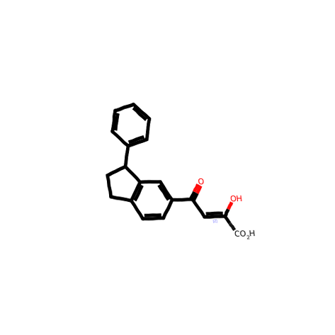 O=C(O)/C(O)=C/C(=O)c1ccc2c(c1)C(c1ccccc1)CC2